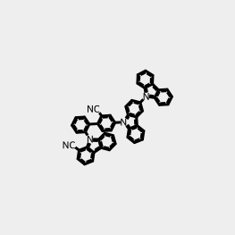 N#Cc1cc(-n2c3ccccc3c3cc(-n4c5ccccc5c5ccccc54)ccc32)ccc1-c1ccccc1-n1c2ccccc2c2cccc(C#N)c21